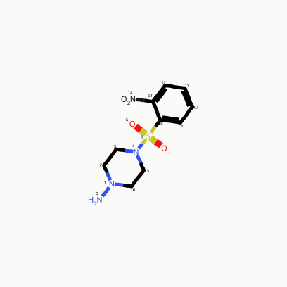 NN1CCN(S(=O)(=O)c2ccccc2[N+](=O)[O-])CC1